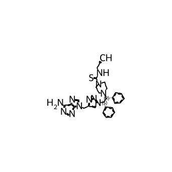 C#CCNC(=S)N1CCN([C@H](c2ccccc2)[C@H](c2ccccc2)n2cc(Cn3cnc4c(N)ncnc43)nn2)CC1